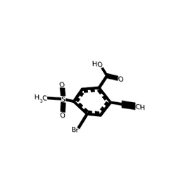 C#Cc1cc(Br)c(S(C)(=O)=O)cc1C(=O)O